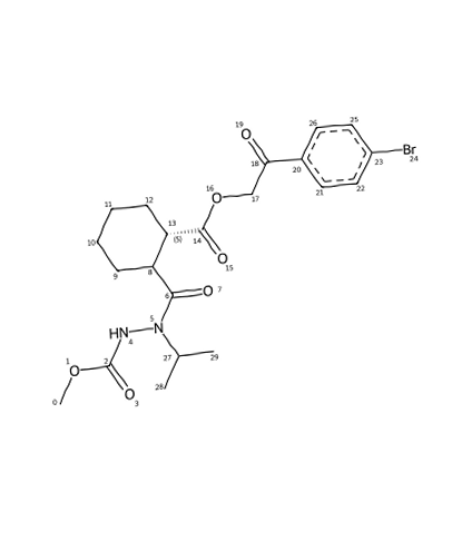 COC(=O)NN(C(=O)C1CCCC[C@@H]1C(=O)OCC(=O)c1ccc(Br)cc1)C(C)C